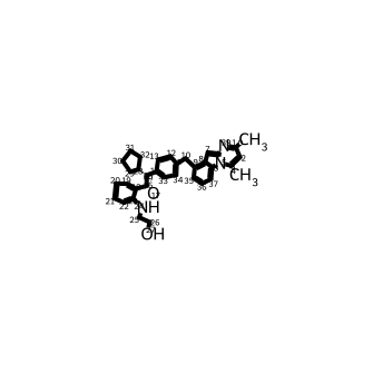 Cc1cc(C)n2c(cc3c(Cc4ccc([C@H](C(=O)c5ccccc5NCCO)C5CCCC5)cc4)cccc32)n1